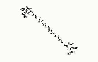 O=C(O)c1cc(CCCSCCCCCCSSCCCCCCSCCCc2ccc(O)c(C(=O)O)c2)ccc1O